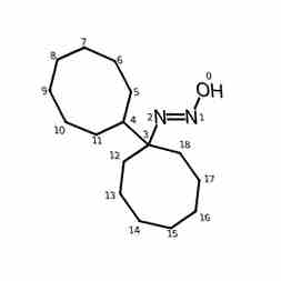 ON=NC1(C2CCCCCCC2)CCCCCCC1